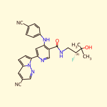 CC(C)(O)[C@H](F)CNC(=O)c1cnc(-c2ccc3cc(C#N)cnn23)cc1Nc1ccc(C#N)cc1